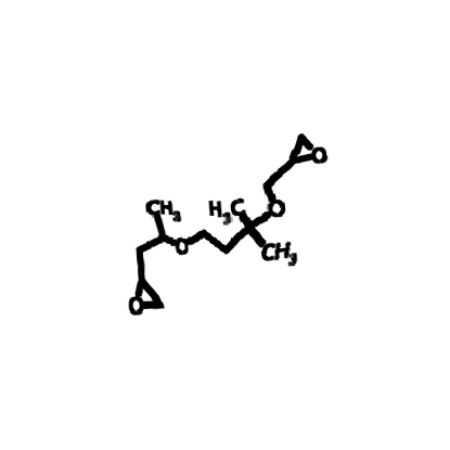 CC(CC1CO1)OCCC(C)(C)OCC1CO1